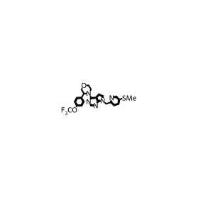 CSc1ccc(Cn2ccc3c(N4CCOCC4c4ccc(OC(F)(F)F)cc4)ncnc32)nc1